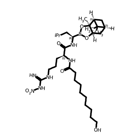 CC(C)C[C@H](NC(=O)[C@H](CCCNC(=N)N[N+](=O)[O-])NC(=O)CCCCCCCCCO)B1O[C@@H]2C[C@@H]3C[C@@H](C3(C)C)[C@]2(C)O1